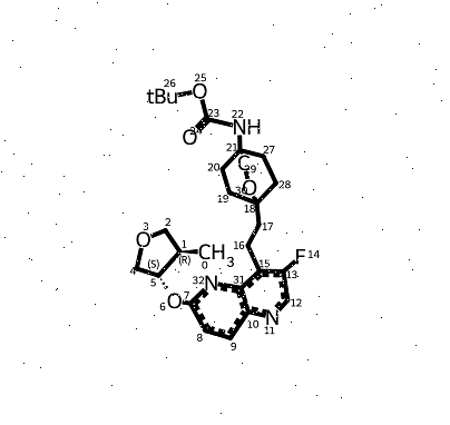 C[C@@H]1COC[C@H]1Oc1ccc2ncc(F)c(CCC34CCC(NC(=O)OC(C)(C)C)(CC3)CO4)c2n1